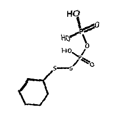 O=P(O)(O)OP(=O)(O)SSC1CCCCC1